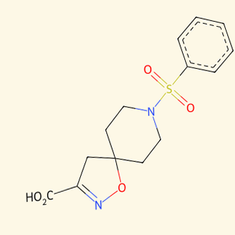 O=C(O)C1=NOC2(CCN(S(=O)(=O)c3ccccc3)CC2)C1